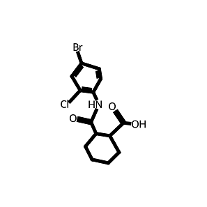 O=C(O)C1CCCCC1C(=O)Nc1ccc(Br)cc1Cl